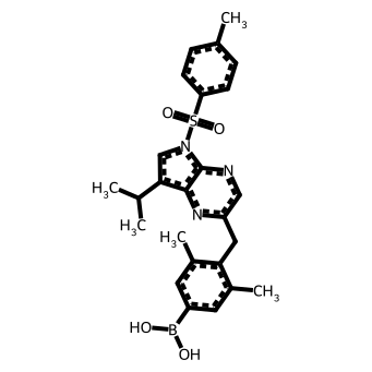 Cc1ccc(S(=O)(=O)n2cc(C(C)C)c3nc(Cc4c(C)cc(B(O)O)cc4C)cnc32)cc1